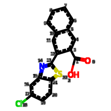 O=C(O)c1cc2ccccc2cc1-c1nc2cc(Cl)ccc2s1